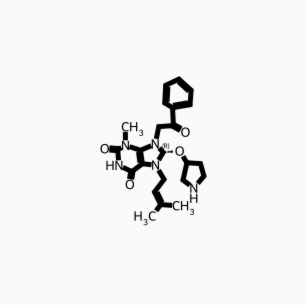 CC(C)=CCN1c2c(n(C)c(=O)[nH]c2=O)N(CC(=O)c2ccccc2)[C@@H]1OC1CCNC1